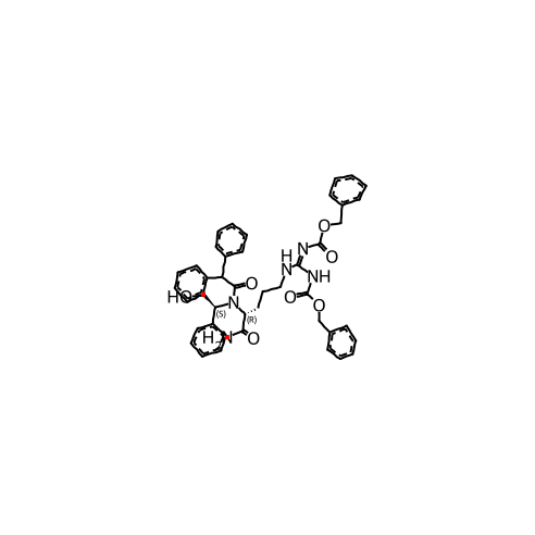 NC(=O)[C@@H](CCCNC(=NC(=O)OCc1ccccc1)NC(=O)OCc1ccccc1)N(C(=O)C(c1ccccc1)c1ccccc1)[C@H](CO)c1ccccc1